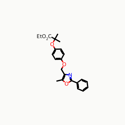 CCOC(=O)C(C)(C)Oc1ccc(OCc2nc(-c3ccccc3)oc2C)cc1